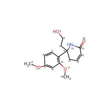 COc1ccc(C2(CCO)CC=CC(=O)N2)c(OC)c1